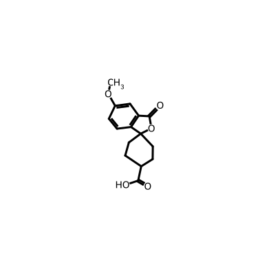 COc1ccc2c(c1)C(=O)OC21CCC(C(=O)O)CC1